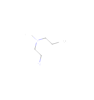 CCCN(CCN)CCOC